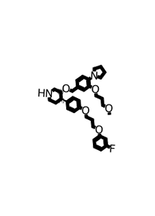 COCCCOc1cc(CO[C@H]2CNCC[C@@H]2c2ccc(OCCCOc3cccc(F)c3)cc2)ccc1N1CCCC1